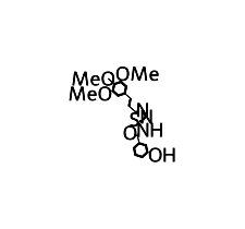 COc1cc(C=Cc2nnc(NC(=O)c3cccc(O)c3)s2)cc(OC)c1OC